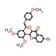 COc1ccc(/C=C/c2cc(OC)cc(OC)c2-c2oc3ccc(Br)cc3c(=O)c2O)cc1